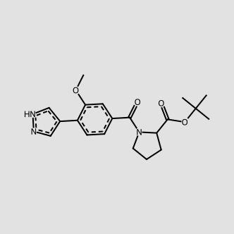 COc1cc(C(=O)N2CCCC2C(=O)OC(C)(C)C)ccc1-c1cn[nH]c1